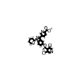 COC(=O)c1ccc(-c2nn(C3CCCCO3)c3ccc(O[C@H](C)c4c(Cl)cncc4Cl)cc23)cn1